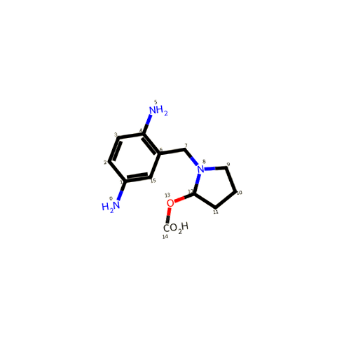 Nc1ccc(N)c(CN2CCCC2OC(=O)O)c1